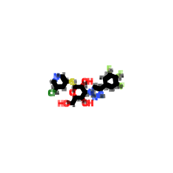 OCC1OC(Sc2cncc(Cl)c2)C(O)C(n2cc(-c3cc(F)c(F)c(F)c3)nn2)C1O